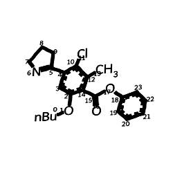 CCCCOc1cc(C2=NCCC2)c(Cl)c(C)c1C(=O)Oc1ccccc1